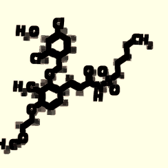 CCCCCS(=O)(=O)NC(=O)/C=C/c1ccc(OCCOC)c(C)c1OCc1ccc(Cl)cc1Cl.O